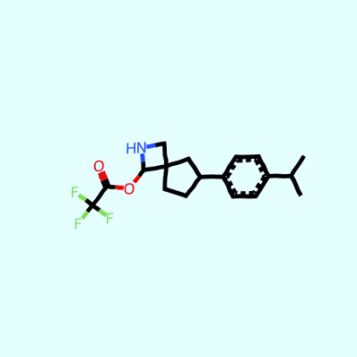 CC(C)c1ccc(C2CCC3(CNC3OC(=O)C(F)(F)F)C2)cc1